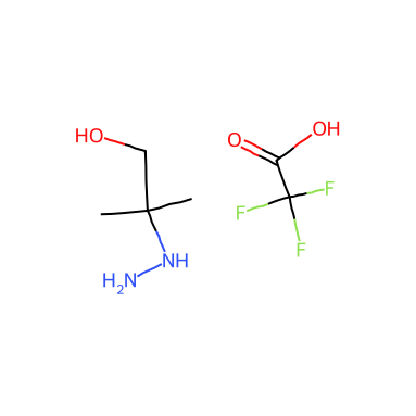 CC(C)(CO)NN.O=C(O)C(F)(F)F